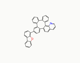 c1ccc2c(c1)-c1cc(-c3cccc4c3oc3ccccc34)ccc1-c1ccc3cccnc3c1-c1ccccc1-2